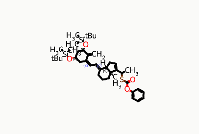 C=C1/C(=C\C=C2/CCC[C@]3(C)C(C(C)SC(=O)Oc4ccccc4)=CC[C@@H]23)C[C@@H](O[Si](C)(C)C(C)(C)C)C[C@@H]1O[Si](C)(C)C(C)(C)C